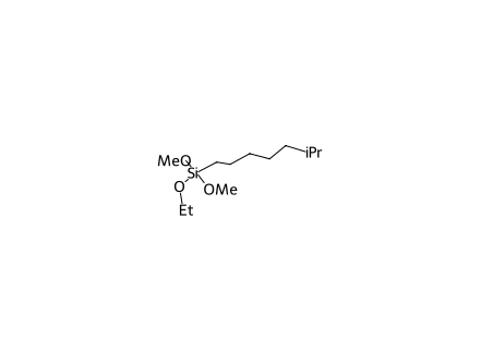 CCO[Si](CCCCCC(C)C)(OC)OC